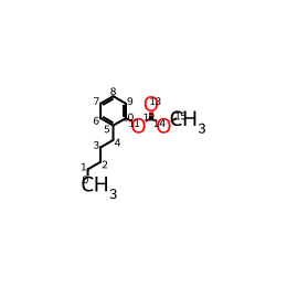 CCCCCc1ccccc1OC(=O)OC